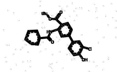 CC(C)(C)OC(=O)c1ccc(-c2ccc(O)c(Cl)c2)cc1NC(=O)c1ccccc1